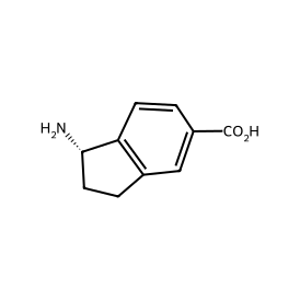 N[C@H]1CCc2cc(C(=O)O)ccc21